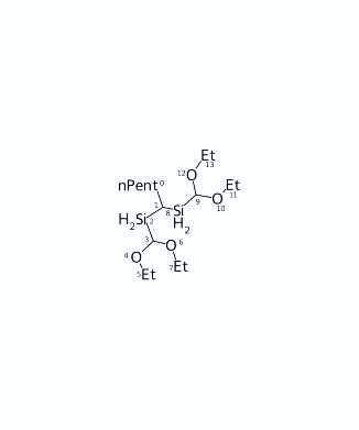 CCCCCC([SiH2]C(OCC)OCC)[SiH2]C(OCC)OCC